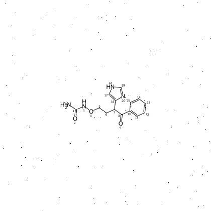 NC(=O)NOCCC(C(=O)c1ccccc1)c1c[nH]cn1